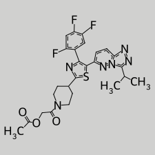 CC(=O)OCC(=O)N1CCC(c2nc(-c3cc(F)c(F)cc3F)c(-c3ccc4nnc(C(C)C)n4n3)s2)CC1